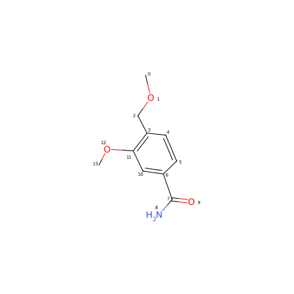 COCc1ccc(C(N)=O)cc1OC